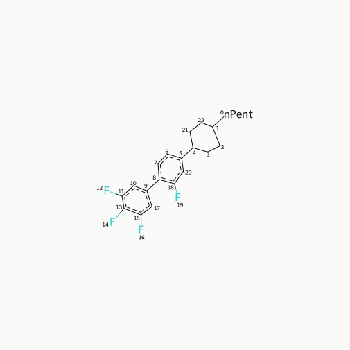 CCCCCC1CCC(c2ccc(-c3cc(F)c(F)c(F)c3)c(F)c2)CC1